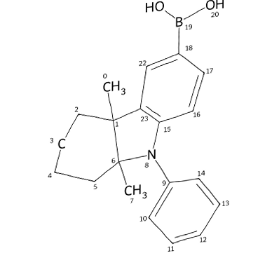 CC12CCCCC1(C)N(c1ccccc1)c1ccc(B(O)O)cc12